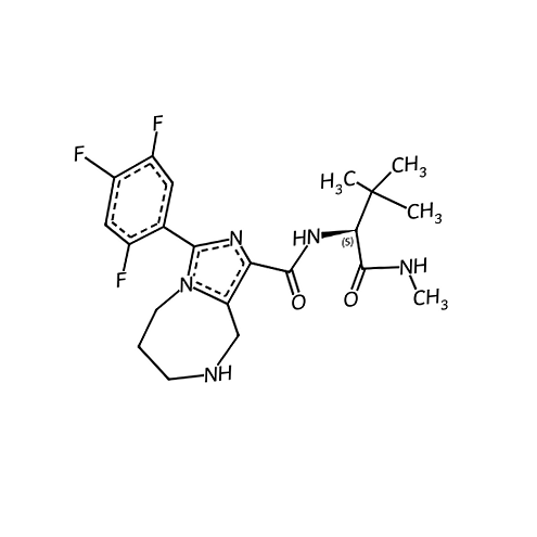 CNC(=O)[C@@H](NC(=O)c1nc(-c2cc(F)c(F)cc2F)n2c1CNCCC2)C(C)(C)C